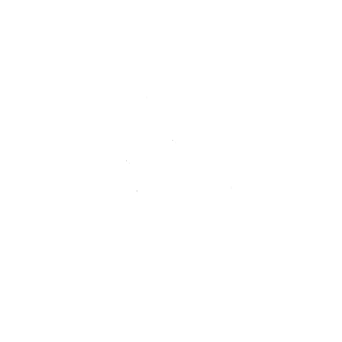 Cc1ccc2nc(N3CCS(=O)(=O)c4ccccc4C3)cc(NC3CCC(O)CC3)c2c1